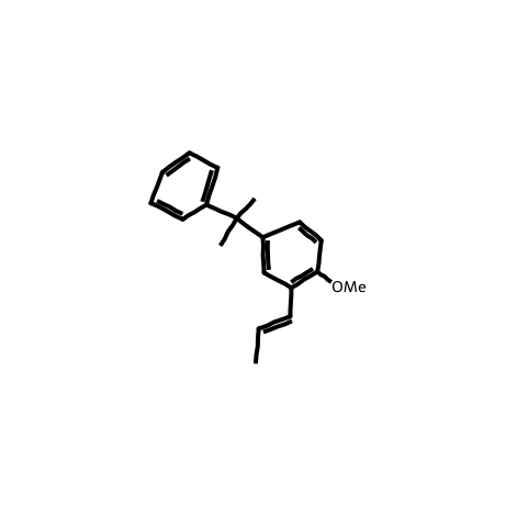 CC=Cc1cc(C(C)(C)c2ccccc2)ccc1OC